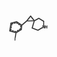 Ic1cccc(C2CC23CCNCC3)c1